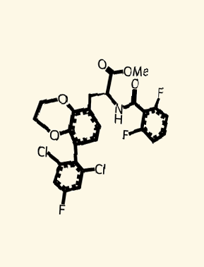 COC(=O)[C@H](Cc1ccc(-c2c(Cl)cc(F)cc2Cl)c2c1OCCO2)NC(=O)c1c(F)cccc1F